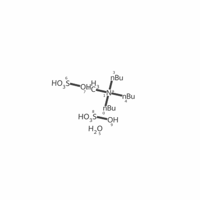 CCCC[N+](C)(CCCC)CCCC.O.O=S(=O)(O)O.O=S(=O)(O)O